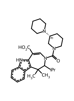 CC(C)C1N(C(=O)N2CCC[C@@H](N3CCCCC3)C2)C=C(C(=O)O)c2[nH]c3ccccc3c2C1(C)C